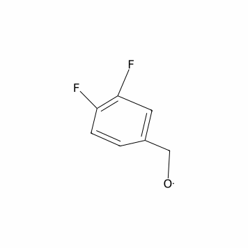 [O]Cc1ccc(F)c(F)c1